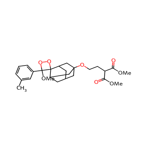 COC(=O)C(CCOC12CC3CC(C1)C1(OOC1(OC)c1cccc(C)c1)C(C3)C2)C(=O)OC